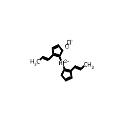 CC=CC1=[C]([Hf+2][C]2=C(C=CC)C=CC2)CC=C1.[Cl-].[Cl-]